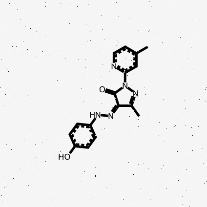 CC1=NN(c2cc(C)ccn2)C(=O)/C1=N\Nc1ccc(O)cc1